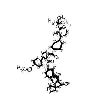 CO[C@H]1CC[C@H]([C@@H]2CCN(C(=O)[C@H]3CC[C@H]([C@@H](CF)NC(=O)OC(C)(C)C)CC3)[C@@H]2C(=O)Nc2ccc3c(c2)cc2n3C(CF)(CF)OC2=O)CC1